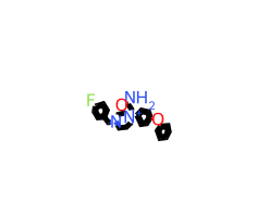 NC(=O)C[N+]1(c2ccc(Oc3ccccc3)cc2)CCCN(Cc2ccc(F)cc2)CC1